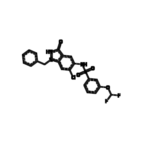 O=c1[nH]n(Cc2ccccc2)c2cc(Cl)c(NS(=O)(=O)c3cccc(OC(F)F)c3)cc12